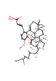 COc1ccc(/C=C/C(=O)O)c(C2=CCC(C)(C)[C@@H]3CC[C@@H]4[C@]5(CC[C@]6(C)[C@@H]([C@H](C)CCCC(C)C)CC[C@@]46C)C[C@]235)c1OC